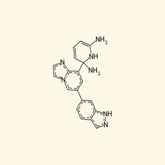 NC1=CC=CC(N)(c2cc(-c3ccc4cn[nH]c4c3)cn3ccnc23)N1